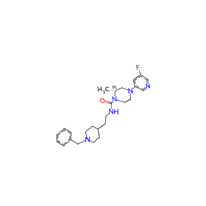 C[C@@H]1CN(c2cncc(F)c2)CCN1C(=O)NCCC1CCN(Cc2ccccc2)CC1